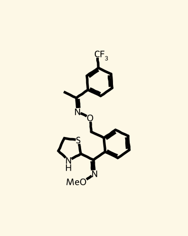 CON=C(c1ccccc1CON=C(C)c1cccc(C(F)(F)F)c1)C1NCCS1